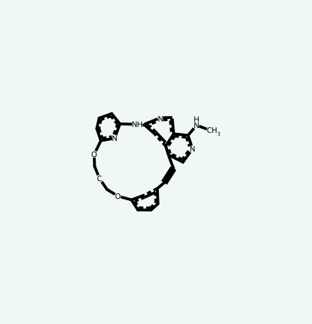 CNc1ncc2c3cc(ncc13)Nc1cccc(n1)OCCCOc1cccc(c1)C#C2